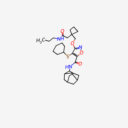 CCCNC(=O)CC1(COc2noc(C(=O)NC3C4CC5CC(C4)CC3C5)c2SC2CCCCC2)CCC1